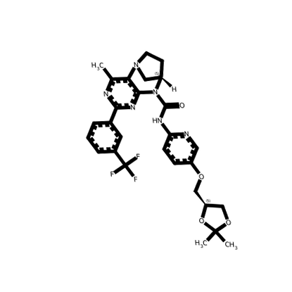 Cc1nc(-c2cccc(C(F)(F)F)c2)nc2c1N1CC[C@@H](C1)N2C(=O)Nc1ccc(OC[C@H]2COC(C)(C)O2)cn1